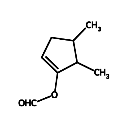 CC1CC=C(OC=O)C1C